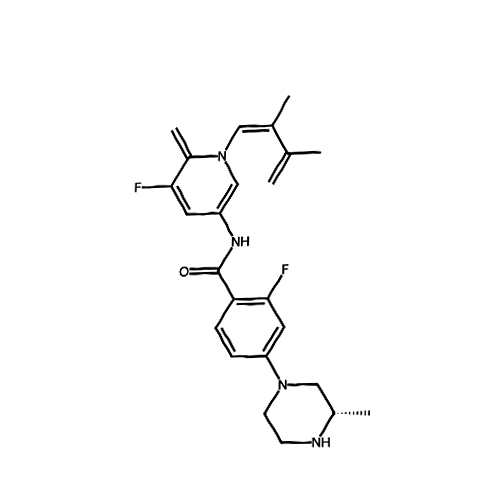 C=C(C)/C(C)=C\N1C=C(NC(=O)c2ccc(N3CCN[C@@H](C)C3)cc2F)C=C(F)C1=C